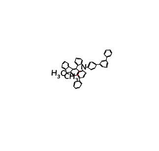 CC1(C)c2ccccc2-c2c(-c3ccccc3N(c3ccc(-c4ccccc4)cc3)c3ccc(-c4cccc(-c5ccccc5)c4)cc3)cccc21